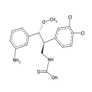 CO[C@@H](c1cccc(N)c1)[C@H](CNC(=O)O)c1ccc(Cl)c(Cl)c1